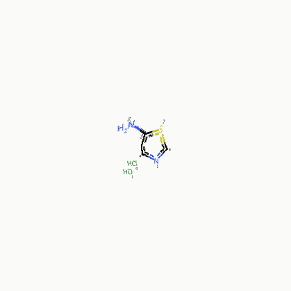 Cl.Cl.Nc1cncs1